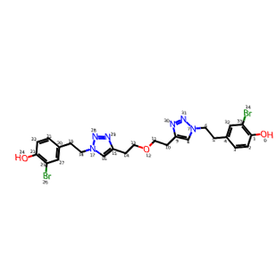 Oc1ccc(CCn2cc(CCOCCc3cn(CCc4ccc(O)c(Br)c4)nn3)nn2)cc1Br